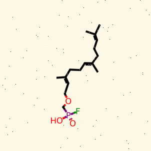 CC(C)=CCCC(C)=CCCC(C)=CCOCP(=O)(O)F